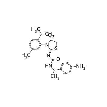 Cc1ccc(C(C)C)c(N2C(=O)CSC2=NC(=O)NC(C)c2ccc(N)cc2)c1